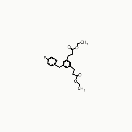 CCOC(=O)CCc1cc(CCC(=O)OCC)cc(Cc2ccc(F)cc2)c1